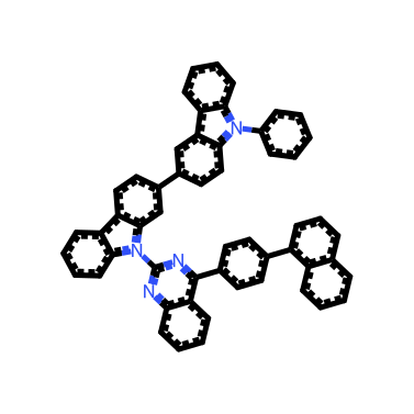 c1ccc(-n2c3ccccc3c3cc(-c4ccc5c6ccccc6n(-c6nc(-c7ccc(-c8cccc9ccccc89)cc7)c7ccccc7n6)c5c4)ccc32)cc1